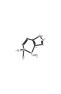 Cl.[O-][N+]1([O-])C=Cc2[nH]ncc2S1